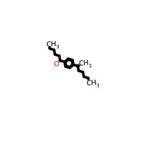 C=C(CCCCC)c1ccc(C(=O)CCCCC)cc1